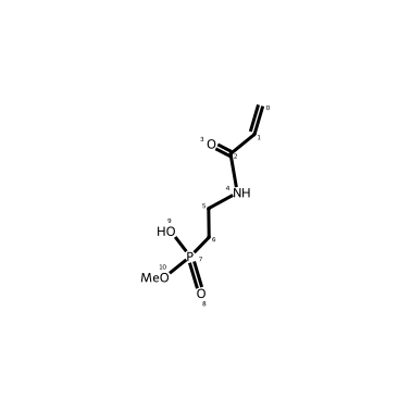 C=CC(=O)NCCP(=O)(O)OC